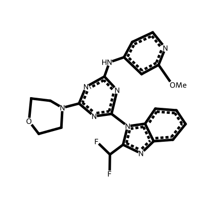 COc1cc(Nc2nc(N3CCOCC3)nc(-n3c(C(F)F)nc4ccccc43)n2)ccn1